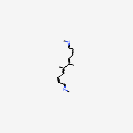 C/N=C/C=C\C=C(C)\C(C)=C\C=C/C=N/C